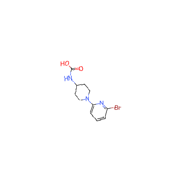 O=C(O)NC1CCN(c2cccc(Br)n2)CC1